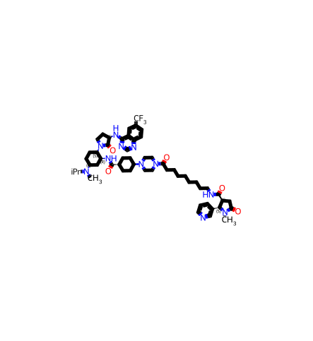 CC(C)N(C)[C@@H]1CC[C@H](N2CC[C@H](Nc3ncnc4ccc(C(F)(F)F)cc34)C2=O)[C@H](NC(=O)[C@H]2CC[C@H](N3CCN(C(=O)CCCCCCCCNC(=O)[C@H]4CC(=O)N(C)[C@@H]4c4cccnc4)CC3)CC2)C1